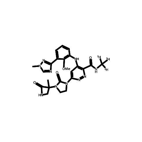 [2H]C([2H])([2H])NC(=O)c1nnc(N2CCN(C3(C)CNC3=O)C2=O)cc1Nc1cccc(-c2ncn(C)n2)c1OC